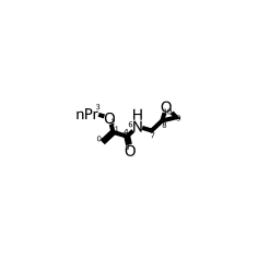 C=C(OCCC)C(=O)NCC1CO1